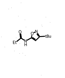 CCC(=O)Nc1cc(C(C)(C)C)no1